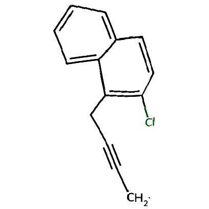 [CH2]C#CCc1c(Cl)ccc2ccccc12